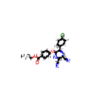 CCOC(=O)c1ccc(Oc2nc(C#N)c(C#N)nc2-c2ccc(Cl)cc2)cc1